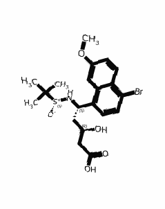 COc1ccc2c(Br)ccc([C@H](C[C@@H](O)CC(=O)O)N[S@+]([O-])C(C)(C)C)c2c1